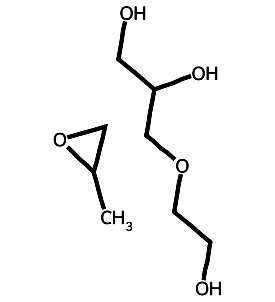 CC1CO1.OCCOCC(O)CO